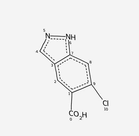 O=C(O)c1cc2cn[nH]c2cc1Cl